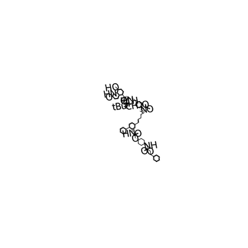 CC(C)(C)[Si](C)(C)O[C@@H](CNCc1ccc2c(c1)oc(=O)n2CCCC=Cc1ccc(-c2ccccc2)c(NC(=O)O[C@H]2CC[C@H](NC(=O)OCc3ccccc3)CC2)c1)c1ccc(O)c2[nH]c(=O)ccc12